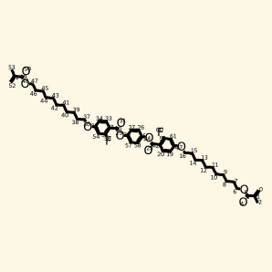 C=C(C)C(=O)OCCCCCCCCCCCOc1ccc(C(=O)Oc2ccc(OC(=O)c3ccc(OCCCCCCCCCCCOC(=O)C(=C)C)cc3F)cc2)c(F)c1